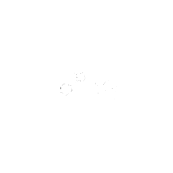 CC(O)(C(=O)N1CCc2c(cnn2-c2ccc(F)cc2F)C1)C(F)(F)F